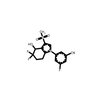 CS(=O)(=O)c1cn(-c2cc(F)cc(C#N)c2)c2c1C(O)C(F)(F)CC2